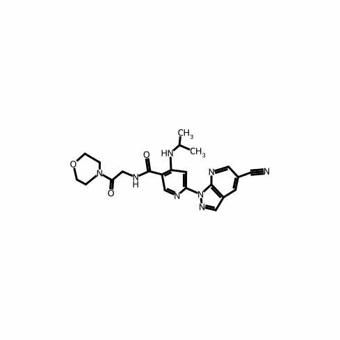 CC(C)Nc1cc(-n2ncc3cc(C#N)cnc32)ncc1C(=O)NCC(=O)N1CCOCC1